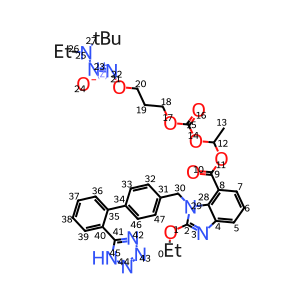 CCOc1nc2cccc(C(=O)OC(C)OC(=O)OCCCO/N=[N+](\[O-])N(CC)C(C)(C)C)c2n1Cc1ccc(-c2ccccc2-c2nnn[nH]2)cc1